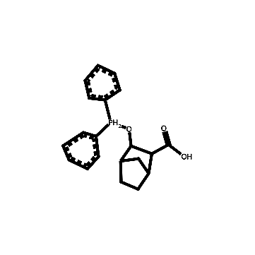 O=C(O)C1C2CCC(C2)C1O[PH2](c1ccccc1)c1ccccc1